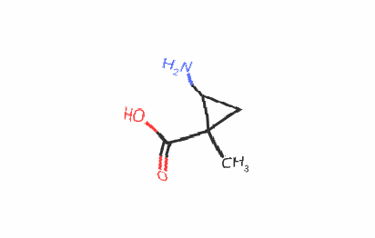 CC1(C(=O)O)CC1N